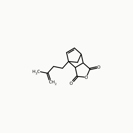 C=C(C)CCC12C=CC(C1)C1C(=O)OC(=O)C12